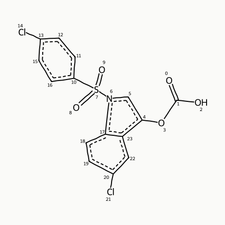 O=C(O)Oc1cn(S(=O)(=O)c2ccc(Cl)cc2)c2ccc(Cl)cc12